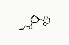 C=CCOc1cccc(C2OC=CO2)c1